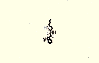 CCCCC1CCC(NC(=O)C(=O)c2cn(C(C)C)c3ccccc23)CN1